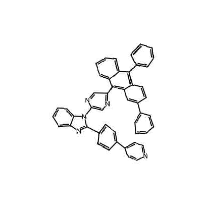 c1ccc(-c2ccc3c(-c4ccccc4)c4ccccc4c(-c4cnc(-n5c(-c6ccc(-c7ccncc7)cc6)nc6ccccc65)cn4)c3c2)cc1